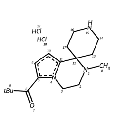 CN1CCn2c(C(=O)C(C)(C)C)ccc2C12CCNCC2.Cl.Cl